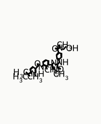 Cc1c(NC(=O)c2ccc(C(C)(C)C)nc2)cccc1-c1cn(C)c(=O)c(Nc2ccc(C(=O)N(C)CCO)cc2)n1